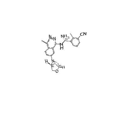 Cc1c(C#N)cccc1[C@@H](N)Nc1nnc(C)c2ccc(N3C[C@H]4C[C@@H]3CO4)cc12